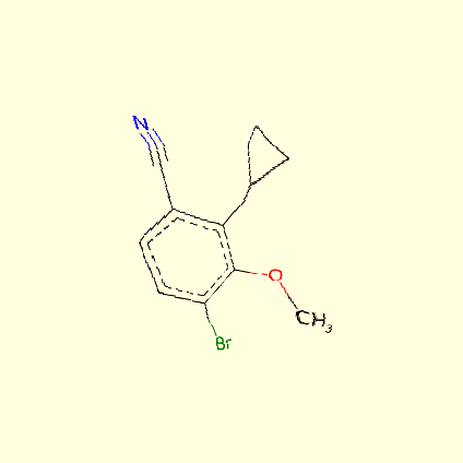 COc1c(Br)ccc(C#N)c1C1CC1